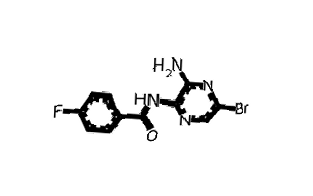 Nc1nc(Br)cnc1NC(=O)c1ccc(F)cc1